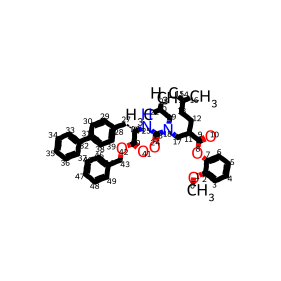 COc1ccccc1OC(=O)C(CCC(C)C)CN(CC(C)C)C(=O)N[C@@H](Cc1ccc(-c2ccccc2)cc1)C(=O)OCc1ccccc1